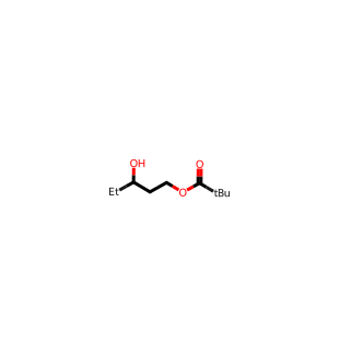 CCC(O)CCOC(=O)C(C)(C)C